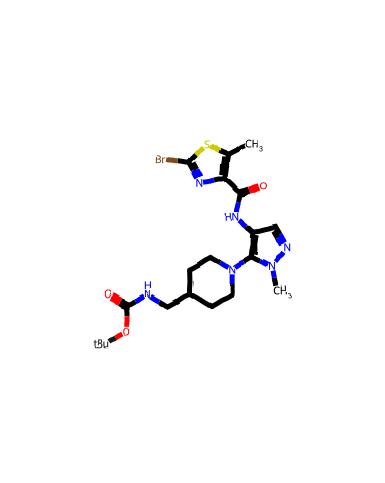 Cc1sc(Br)nc1C(=O)Nc1cnn(C)c1N1CCC(CNC(=O)OC(C)(C)C)CC1